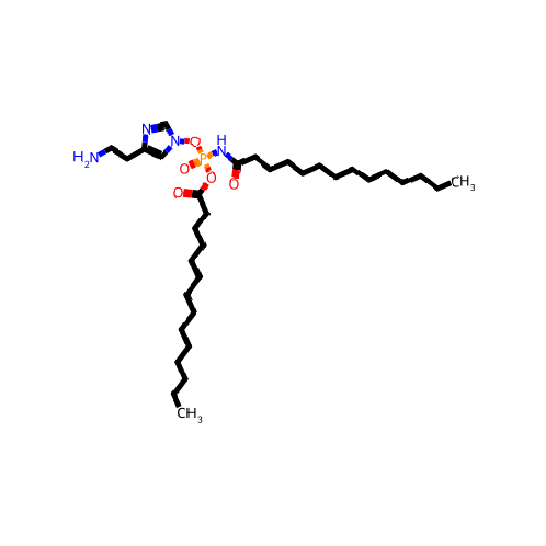 CCCCCCCCCCCCCC(=O)NP(=O)(OC(=O)CCCCCCCCCCCCC)On1cnc(CCN)c1